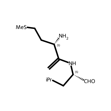 C=C(N[C@H](C=O)CC(C)C)[C@@H](N)CCSC